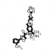 Cc1cccc(-c2nc(C(=O)Nc3cc4cn(CC5(F)CN(C(=O)OC(C)(C)C)C5)nc4cc3C(C)(C)O)co2)c1